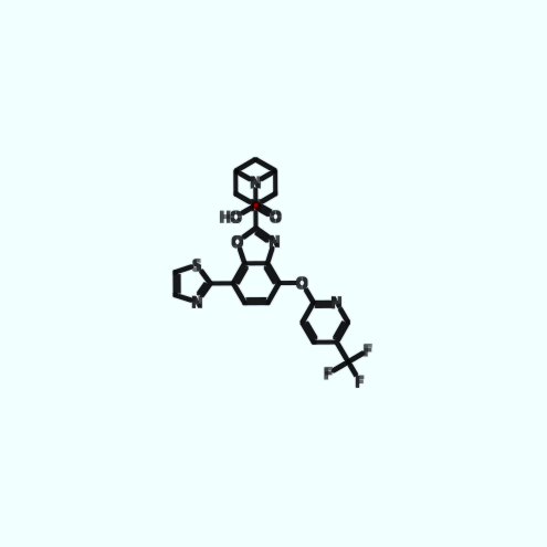 O=C(O)N1C2CC1CN(c1nc3c(Oc4ccc(C(F)(F)F)cn4)ccc(-c4nccs4)c3o1)C2